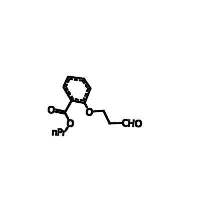 CCCOC(=O)c1ccccc1OCCC=O